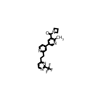 Cc1ncc(-c2ccnc(CCc3ccnc(C(F)(F)F)n3)c2)cc1C(=O)N1CCC1